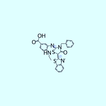 CCNc1ccc(C(=O)O)cc1/N=C1\S/C(=C2\Sc3ccccc3N2C)C(=O)N1Cc1ccccc1